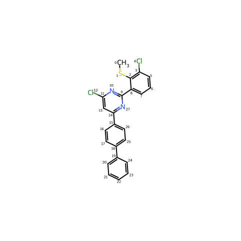 CSc1c(Cl)cccc1-c1nc(Cl)cc(-c2ccc(-c3ccccc3)cc2)n1